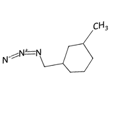 CC1CCCC(CN=[N+]=[N-])C1